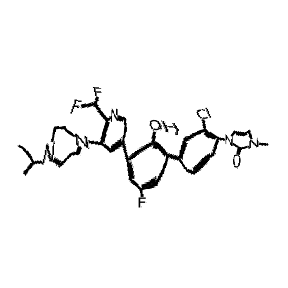 CC(C)N1CCN(c2cc(-c3cc(F)cc(-c4ccc(-n5ccn(C)c5=O)c(Cl)c4)c3O)cnc2C(F)F)CC1